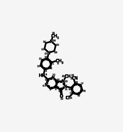 Cc1cc(Nc2ncc3c(=O)n(-c4c(Cl)cccc4C#N)n(C)c3n2)ccc1N1CCN(C)CC1